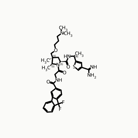 C[C@@H]1N(C(=O)CNC(=O)c2ccc3c(c2)-c2ccccc2C3(F)F)[C@H](C(=O)N[C@H](C)c2cc(C(=N)N)cs2)C[C@]1(C)COCCCN(C)C